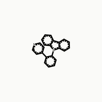 c1ccc(-n2c3ccccc3c3ccccc32)c(-c2ccncc2)c1